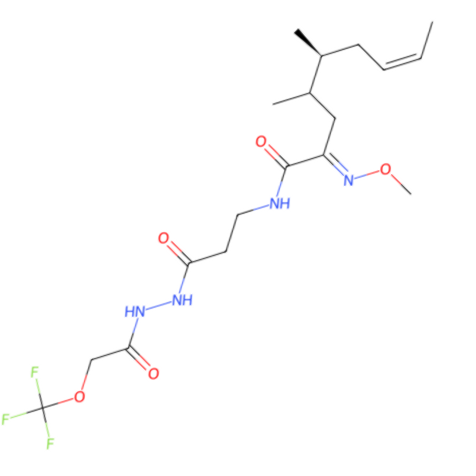 C/C=C\C[C@H](C)C(C)C/C(=N\OC)C(=O)NCCC(=O)NNC(=O)COC(F)(F)F